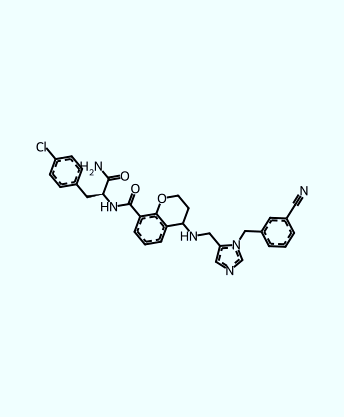 N#Cc1cccc(Cn2cncc2CNC2CCOc3c(C(=O)N[C@@H](Cc4ccc(Cl)cc4)C(N)=O)cccc32)c1